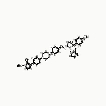 CCC(C)n1ncn(-c2ccc(N3CCN(c4ccc(OC[C@@H]5CO[C@@](Cn6nccn6)(c6ccc(C#N)cc6)O5)cc4)CC3)cc2)c1=O